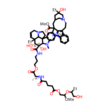 CCC(CO)OC(COC(=O)CCCC(=O)N[C@H](C)C(=O)OCCCNC(=O)[C@]1(O)C2N(C)c3cc(OC)c(C4(C(=O)OC)CC5C[N@](CCc6c4[nH]c4ccccc64)CC(O)(CC)C5)cc3C23CCN2CC=CC(CC)(C23)[C@H]1O)OC